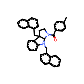 Cc1ccc(C(=O)N2CCC3(Cc4cccc5ccccc45)c4ccccc4N(Cc4cccc5ccccc45)C23)cc1